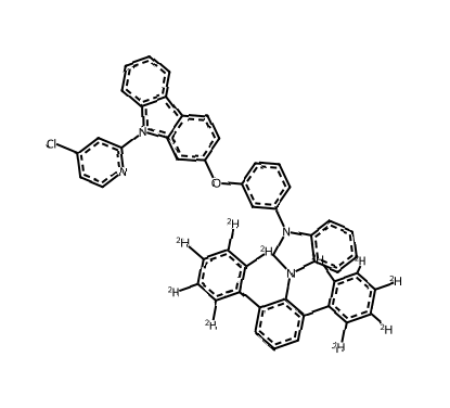 [2H]c1c([2H])c([2H])c(-c2cccc(-c3c([2H])c([2H])c([2H])c([2H])c3[2H])c2N2CN(c3cccc(Oc4ccc5c6ccccc6n(-c6cc(Cl)ccn6)c5c4)c3)c3ccccc32)c([2H])c1[2H]